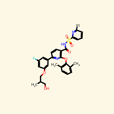 CCc1cccc(S(=O)(=O)NC(=O)c2ccc(-c3cc(F)cc(OCC(C)CO)c3)nc2Oc2c(C)cccc2C)n1